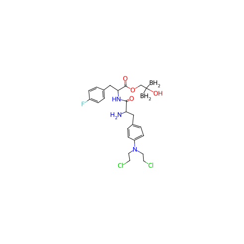 BC(B)(O)COC(=O)C(Cc1ccc(F)cc1)NC(=O)C(N)Cc1ccc(N(CCCl)CCCl)cc1